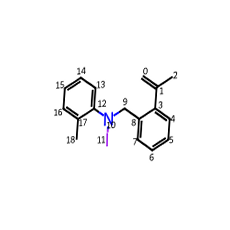 C=C(C)c1ccccc1CN(I)c1ccccc1C